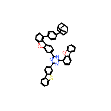 c1ccc2c(c1)oc1c(-c3nc(-c4ccc5c(c4)oc4cccc(-c6ccc(C78CC9CC(CC(C9)C7)C8)cc6)c45)nc(-c4ccc5c(c4)sc4ccccc45)n3)cccc12